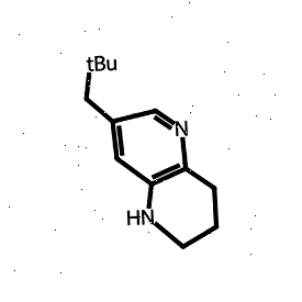 CC(C)(C)Cc1cnc2c(c1)NCCC2